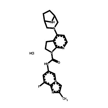 Cc1cn2cc(NC(=O)N3CCc4c(N5CC6CCC(C5)N6)ccnc43)cc(F)c2n1.Cl